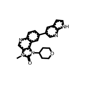 Cn1c(=O)n(C2CCOCC2)c2c3cc(-c4cnc5[nH]ccc5c4)ccc3ncc21